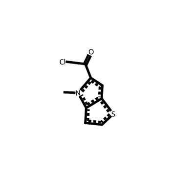 Cn1c(C(=O)Cl)cc2sccc21